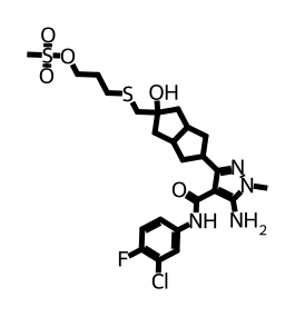 Cn1nc(C2CC3CC(O)(CSCCCOS(C)(=O)=O)CC3C2)c(C(=O)Nc2ccc(F)c(Cl)c2)c1N